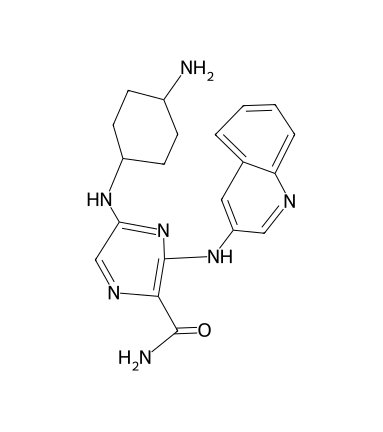 NC(=O)c1ncc(NC2CCC(N)CC2)nc1Nc1cnc2ccccc2c1